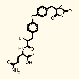 NC(=O)CCC(NC(=O)C(N)Cc1ccc(Oc2ccc(CC3SC(=O)NC3=O)cc2)cc1)C(=O)O